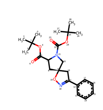 CC(C)(C)OC(=O)C1C[C@]2(CC(c3ccccc3)=NO2)CN1C(=O)OC(C)(C)C